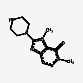 Cn1ncc2nc(N3CCNCC3)n(C)c2c1=O